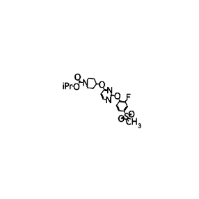 CC(C)OC(=O)N1CCC(Oc2ccnc(Oc3ccc(S(C)(=O)=O)cc3F)n2)CC1